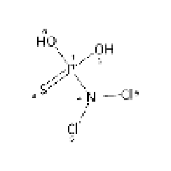 OP(O)(=S)N(Cl)Cl